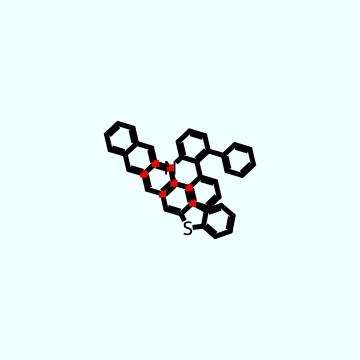 c1ccc(-c2ccccc2-c2c(-c3ccccc3)cccc2N(c2ccc3ccccc3c2)c2ccc3sc4ccccc4c3c2)cc1